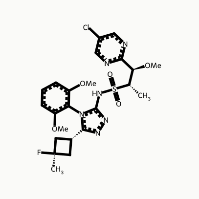 COc1cccc(OC)c1-n1c(NS(=O)(=O)[C@@H](C)[C@H](OC)c2ncc(Cl)cn2)nnc1[C@H]1C[C@](C)(F)C1